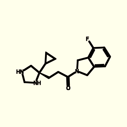 O=C(CC[C@]1(C2CC2)CNCN1)N1Cc2cccc(F)c2C1